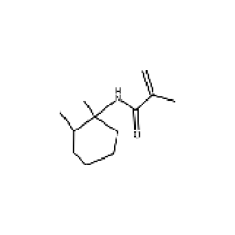 C=C(C)C(=O)NC1(C)CCCCC1C